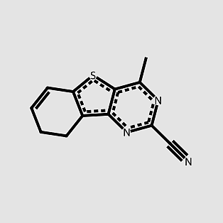 Cc1nc(C#N)nc2c3c(sc12)C=CCC3